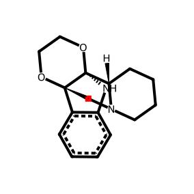 c1ccc2c(c1)N[C@@]13OCCO[C@@]21CCN1CCCC[C@H]13